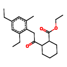 CCOC(=O)C1CCCCC1C(=O)Cc1c(C)cc(CC)cc1CC